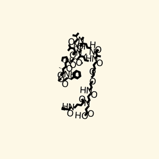 C#CC(=O)NCCCC(=O)N(CCC(=O)O)CCC(=O)NCCOCCOCCC(=O)NC(C)C(=O)NCCCC(=O)N(C)[C@@H](C(=O)N[C@H](C(=O)N(C)[C@@H]([C@@H](C)CC)[C@@H](CC(=O)N1CCC[C@H]1[C@H](OC)[C@@H](C)C(=O)N[C@@H](Cc1ccccc1)C(=O)OC)OC)C(C)C)C(C)C